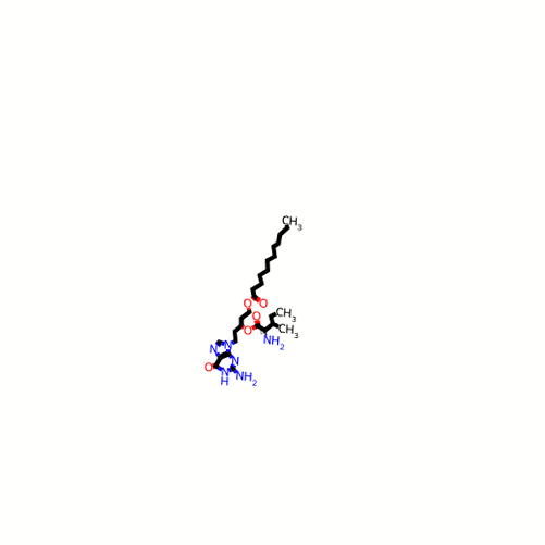 CCCCCCCCCCCC(=O)OCCC(CCn1cnc2c(=O)[nH]c(N)nc21)OC(=O)[C@@H](N)C(C)CC